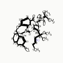 CC/C=C/[C@](C)(OC)[C@@H]1CC[C@H]1CN1C[C@@]2(CCCc3cc(Cl)ccc32)COc2ccc(C(=O)NS(=O)(=O)C(C)C)cc21